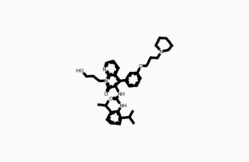 CC(C)c1cccc(C(C)C)c1NC(=O)Nc1c(-c2cccc(OCCCN3CCCCC3)c2)c2cccnc2n(CCCO)c1=O